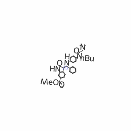 CCCCN(C(=O)CN(C)C)c1ccc(N/C(=C2\C(=O)Nc3cc(C(=O)OC)ccc32)c2ccccc2)cc1